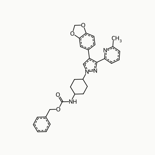 Cc1cccc(-c2nn(C3CCC(NC(=O)OCc4ccccc4)CC3)cc2-c2ccc3c(c2)OCO3)n1